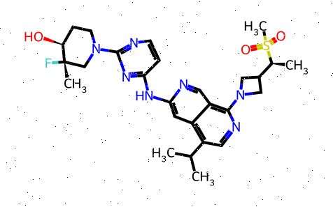 CC(C)c1cnc(N2CC([C@H](C)S(C)(=O)=O)C2)c2cnc(Nc3ccnc(N4CC[C@H](O)[C@@](C)(F)C4)n3)cc12